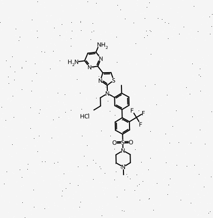 CCCN(c1nc(-c2nc(N)cc(N)n2)cs1)c1cc(-c2ccc(S(=O)(=O)N3CCN(C)CC3)cc2C(F)(F)F)ccc1C.Cl